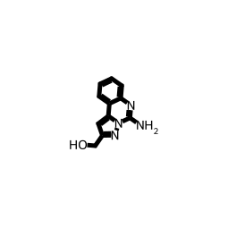 Nc1nc2ccccc2c2cc(CO)nn12